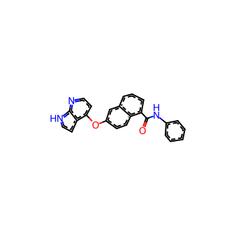 O=C(Nc1ccccc1)c1cccc2cc(Oc3ccnc4[nH]ccc34)ccc12